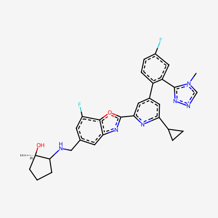 Cn1cnnc1-c1cc(F)ccc1-c1cc(-c2nc3cc(CNC4CCC[C@@]4(C)O)cc(F)c3o2)nc(C2CC2)c1